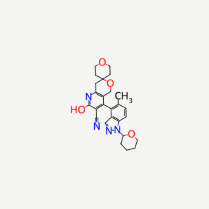 Cc1ccc2c(cnn2C2CCCCO2)c1-c1c(C#N)c(O)nc2c1COC1(CCOCC1)C2